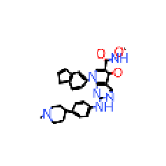 CONC(=O)c1cn(-c2ccc3c(c2)C=CC3)c2nc(Nc3ccc(C4CCN(C)CC4)cc3)ncc2c1=O